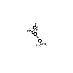 CN(C)c1ccc(/N=N/c2ccc3c(c2)cc(C(=O)O)n3-c2c(F)c(F)c(F)c(F)c2F)cc1